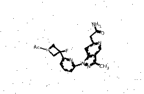 CC(=O)N1CC(F)(c2cccc(-n3nc(C)c4cnc(CC(N)=O)cc43)n2)C1